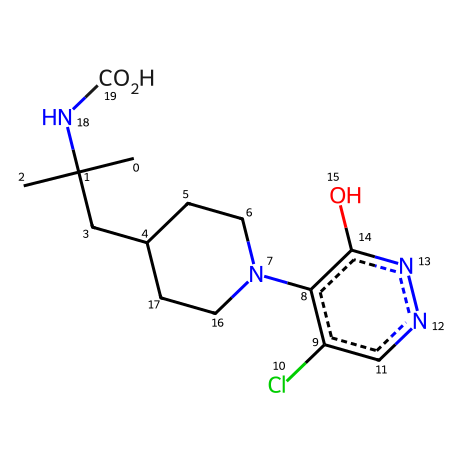 CC(C)(CC1CCN(c2c(Cl)cnnc2O)CC1)NC(=O)O